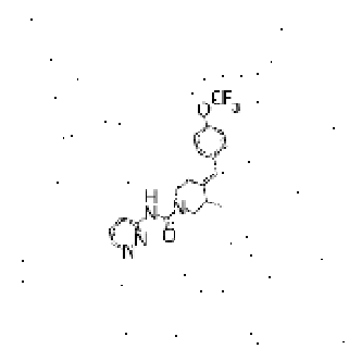 CC1CN(C(=O)Nc2cccnn2)CCC1=Cc1ccc(OC(F)(F)F)cc1